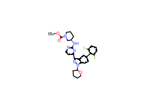 CC(C)(C)OC(=O)N1CCC[C@@H](Nc2nccc(-c3nn(C4CCCCO4)c4ccc(-c5c(F)cccc5F)cc34)n2)C1